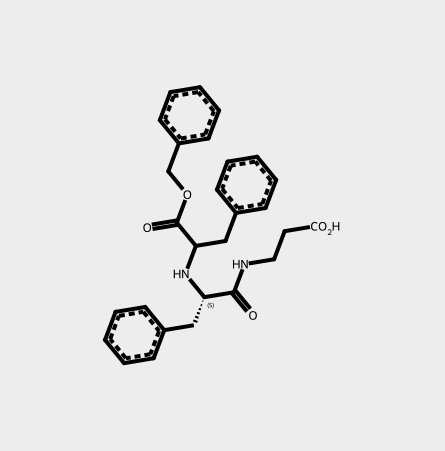 O=C(O)CCNC(=O)[C@H](Cc1ccccc1)NC(Cc1ccccc1)C(=O)OCc1ccccc1